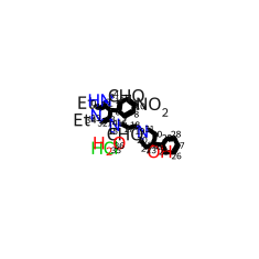 CCC1=C(NC=O)C(c2ccc([N+](=O)[O-])cc2)C(N(C=O)CCCN2CCC(O)(c3ccccc3)CC2)=CN1CC.Cl.O